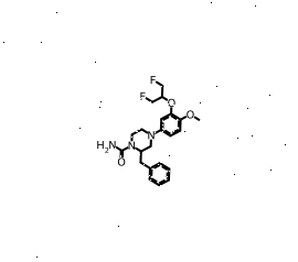 COc1ccc(N2CCN(C(N)=O)C(Cc3ccccc3)C2)cc1OC(CF)CF